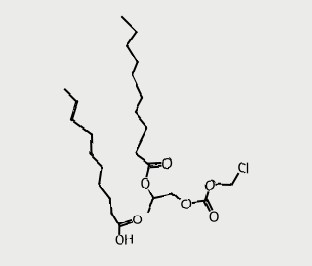 CCCCCCCCCC(=O)O.CCCCCCCCCC(=O)OC(C)COC(=O)OCCl